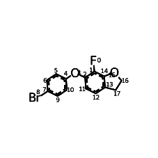 Fc1c(Oc2ccc(Br)cc2)ccc2c1OCC2